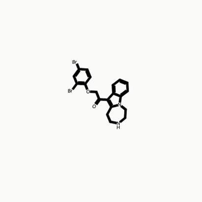 O=C(COc1ccc(Br)cc1Br)c1c2n(c3ccccc13)CCNCC2